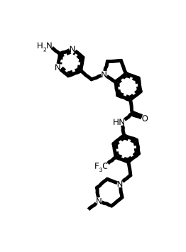 CN1CCN(Cc2ccc(NC(=O)c3ccc4c(c3)N(Cc3cnc(N)nc3)CC4)cc2C(F)(F)F)CC1